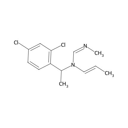 C/C=C/N(/C=N\C)C(C)c1ccc(Cl)cc1Cl